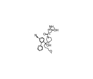 COCCCC[C@](O)(c1ccc(C#N)cc1-c1ccccc1)[C@@H]1CCCN(C(=O)[C@H]2C[C@@H](N)[C@@H](O)C2)C1